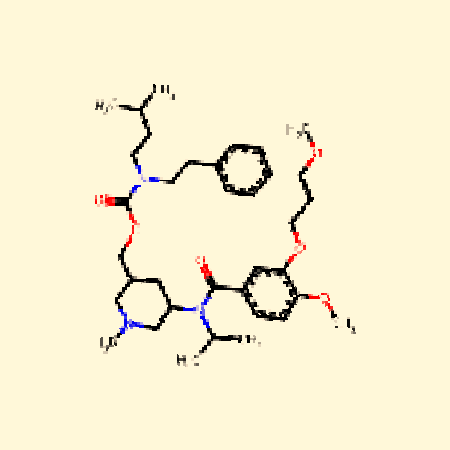 BN1CC(COC(=O)N(CCc2ccccc2)CCC(C)C)CC(N(C(=O)c2ccc(OC)c(OCCCOC)c2)C(C)C)C1